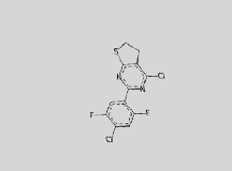 Fc1cc(-c2nc(Cl)c3c(n2)SCC3)c(F)cc1Cl